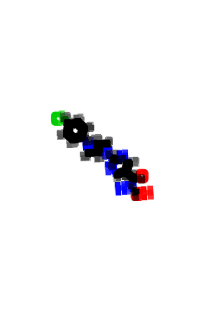 O=C(NO)c1cnc(N2CC3=C2CN3c2ccc(Cl)cc2)nc1